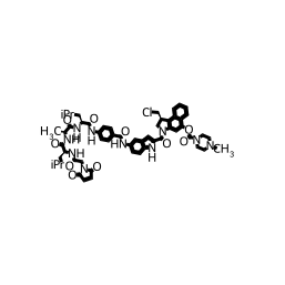 CC(C)C[C@H](NC(=O)CN1C(=O)C=CC1=O)C(=O)N[C@@H](C)C(=O)N[C@@H](CC(C)C)C(=O)Nc1ccc(C(=O)Nc2ccc3[nH]c(C(=O)N4C[C@@H](CCl)c5c4cc(OC(=O)N4CCN(C)CC4)c4ccccc54)cc3c2)cc1